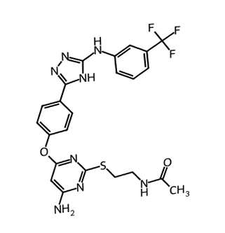 CC(=O)NCCSc1nc(N)cc(Oc2ccc(-c3nnc(Nc4cccc(C(F)(F)F)c4)[nH]3)cc2)n1